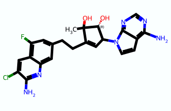 CC1(O)C(CCc2cc(F)c3cc(Cl)c(N)nc3c2)=CC(n2ccc3c(N)ncnc32)[C@H]1O